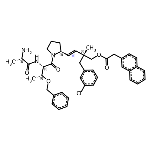 C[C@H](N)C(=O)N[C@H](C(=O)N1CCC[C@H]1/C=C/[C@](C)(COC(=O)Cc1ccc2ccccc2c1)Cc1cccc(Cl)c1)[C@@H](C)OCc1ccccc1